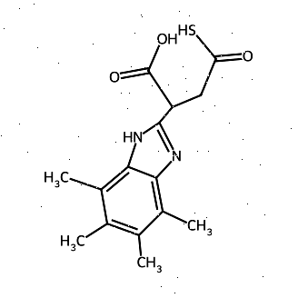 Cc1c(C)c(C)c2[nH]c(C(CC(=O)S)C(=O)O)nc2c1C